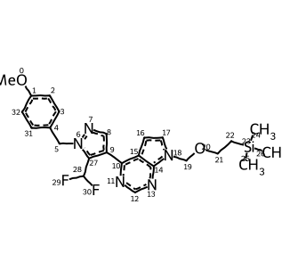 COc1ccc(Cn2ncc(-c3ncnc4c3ccn4COCC[Si](C)(C)C)c2C(F)F)cc1